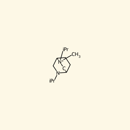 CC(C)N1CC2CCC1C[N+]2(C)C(C)C